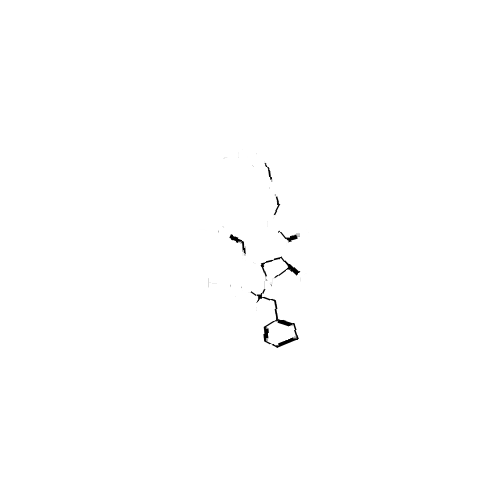 C=CS[C@@H]1[C@H](C(=O)OCCCC(=O)OCC)C(=O)N1C(O)(Cc1ccccc1)C(=O)O